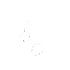 N=Cc1ccc(-c2cccnc2)s1